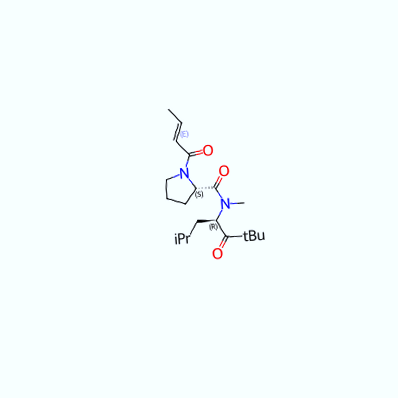 C/C=C/C(=O)N1CCC[C@H]1C(=O)N(C)[C@H](CC(C)C)C(=O)C(C)(C)C